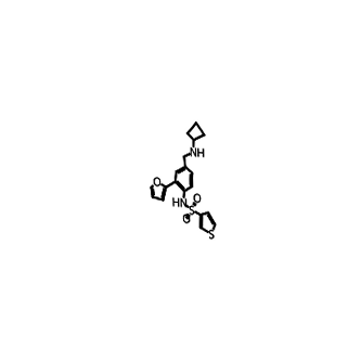 O=S(=O)(Nc1ccc(CNC2CCC2)cc1-c1ccco1)c1ccsc1